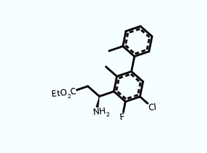 CCOC(=O)C[C@H](N)c1c(C)c(-c2ccccc2C)cc(Cl)c1F